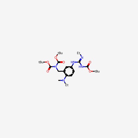 CC/N=C(/NC(=O)OC(C)(C)C)Nc1ccc(N(C)CC)c(CN(C(=O)OC(C)(C)C)C(=O)OC(C)(C)C)c1